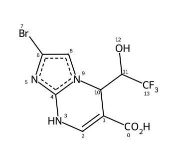 O=C(O)C1=CNc2nc(Br)cn2C1C(O)C(F)(F)F